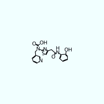 O=C(Cc1csc(N(Cc2cccnc2)C(=O)O)n1)Nc1ccccc1O